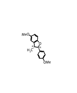 COc1ccc([C@@H]2Oc3ccc(OC)cc3[C@H]2C)cc1